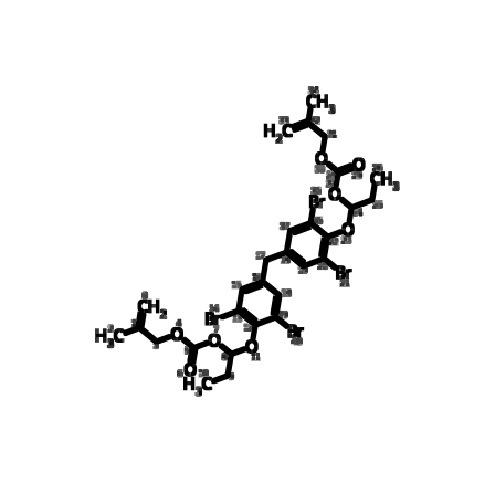 C=C(C)COC(=O)OC(CC)Oc1c(Br)cc(Cc2cc(Br)c(OC(CC)OC(=O)OCC(=C)C)c(Br)c2)cc1Br